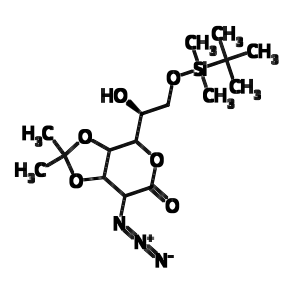 CC1(C)OC2C(N=[N+]=[N-])C(=O)OC([C@@H](O)CO[Si](C)(C)C(C)(C)C)C2O1